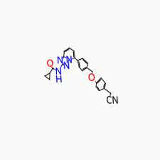 N#CCc1ccc(OCc2ccc(-c3cccc4nc(NC(=O)C5CC5)nn34)cc2)cc1